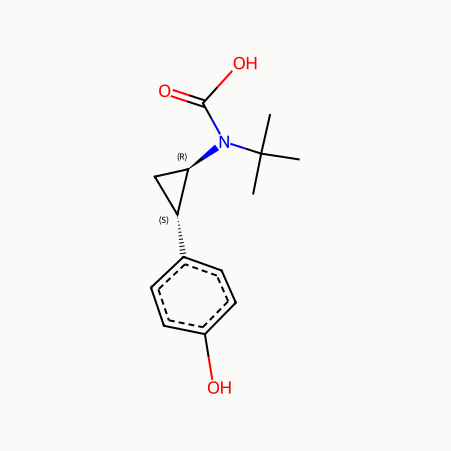 CC(C)(C)N(C(=O)O)[C@@H]1C[C@H]1c1ccc(O)cc1